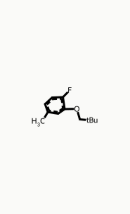 Cc1ccc(F)c(OCC(C)(C)C)c1